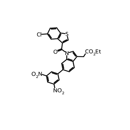 CCOC(=O)Cc1cn(C(=O)c2csc3ccc(Cl)cc23)c2cc(-c3cc([N+](=O)[O-])cc([N+](=O)[O-])c3)ccc12